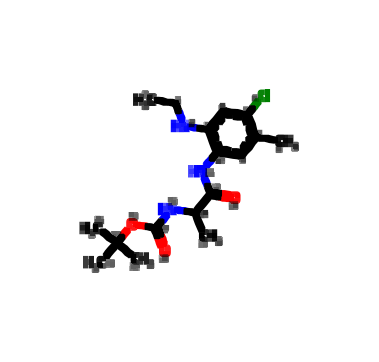 CCNc1cc(Cl)c(C)cc1NC(=O)C(C)NC(=O)OC(C)(C)C